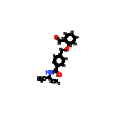 CC(C)NC(=O)c1ccc(COc2ccccc2C=O)cc1